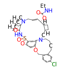 CCNC(=O)O[C@H]1/C=C/CN(C)C(C)(C)C(=O)NS(=O)(=O)c2ccc3c(c2)N(CCCCc2cc(Cl)ccc2CO3)C[C@@H]2CC[C@H]21